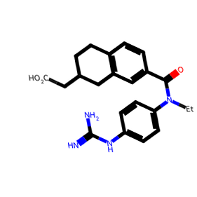 CCN(C(=O)c1ccc2c(c1)CC(CC(=O)O)CC2)c1ccc(NC(=N)N)cc1